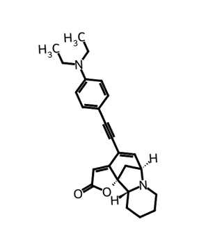 CCN(CC)c1ccc(C#CC2=C[C@@H]3C[C@@]4(OC(=O)C=C24)[C@H]2CCCCN32)cc1